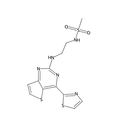 CS(=O)(=O)NCCNc1nc(-c2nccs2)c2sccc2n1